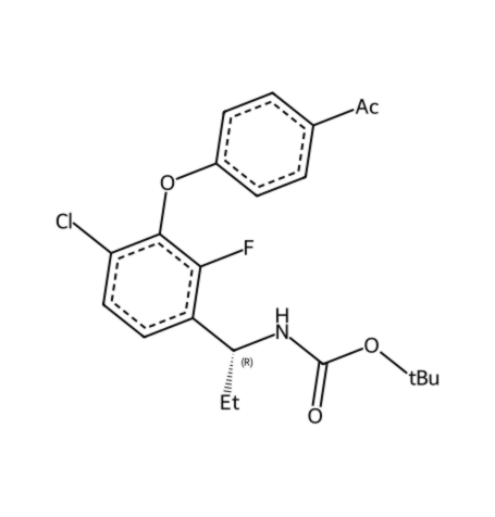 CC[C@@H](NC(=O)OC(C)(C)C)c1ccc(Cl)c(Oc2ccc(C(C)=O)cc2)c1F